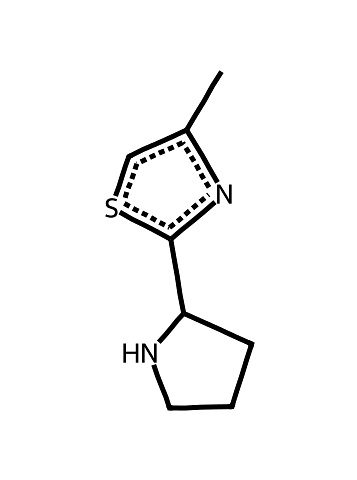 Cc1csc(C2CCCN2)n1